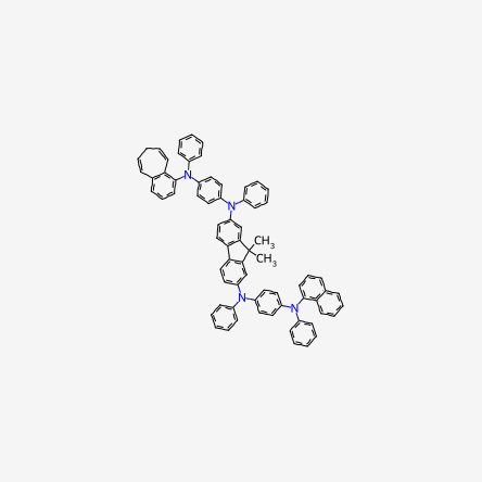 CC1(C)c2cc(N(c3ccccc3)c3ccc(N(c4ccccc4)c4cccc5c4C=CCC=C5)cc3)ccc2-c2ccc(N(c3ccccc3)c3ccc(N(c4ccccc4)c4cccc5ccccc45)cc3)cc21